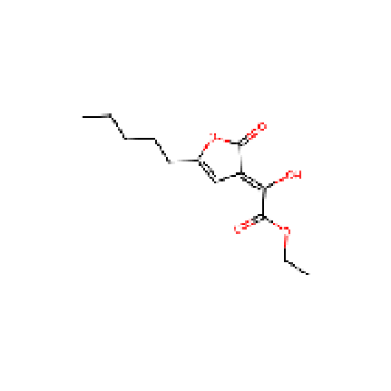 CCCCCC1=CC(=C(O)C(=O)OCC)C(=O)O1